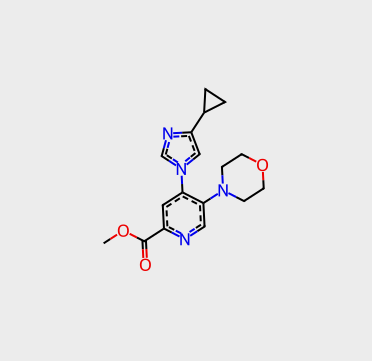 COC(=O)c1cc(-n2cnc(C3CC3)c2)c(N2CCOCC2)cn1